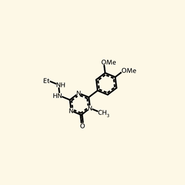 CCNNc1nc(-c2ccc(OC)c(OC)c2)n(C)c(=O)n1